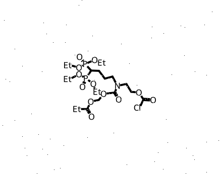 CCOP(=O)(OCC)C(CCCN(CCOC(=O)Cl)C(=O)OCOC(=O)CC)P(=O)(OCC)OCC